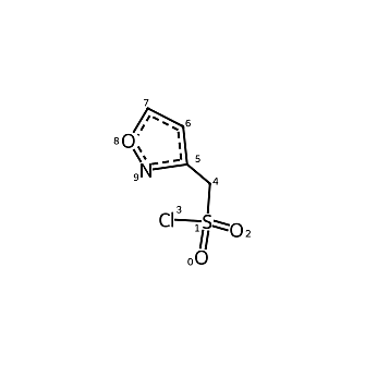 O=S(=O)(Cl)Cc1ccon1